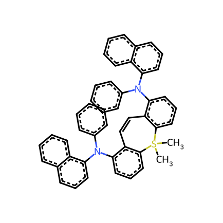 CS1(C)c2cccc(N(c3ccccc3)c3cccc4ccccc34)c2C=Cc2c(N(c3ccccc3)c3cccc4ccccc34)cccc21